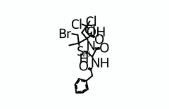 CC1(CBr)S[C@@H]2C(NC(=O)Cc3ccccc3)C(=O)N2C1(CC(Cl)(Cl)Cl)C(=O)O